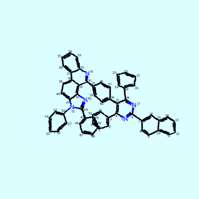 c1ccc(-c2nc(-c3ccc4ccccc4c3)nc(-c3ccccc3)c2-c2ccc(-c3nc4ccccc4c4ccc5c(nc(-c6ccccc6)n5-c5ccccc5)c34)cc2)cc1